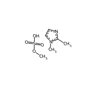 COS(=O)(=O)O.Cc1nccn1C